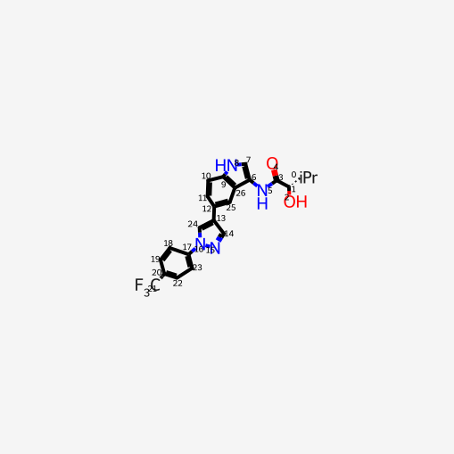 CC(C)[C@H](O)C(=O)Nc1c[nH]c2ccc(-c3cnn(-c4ccc(C(F)(F)F)cc4)c3)cc12